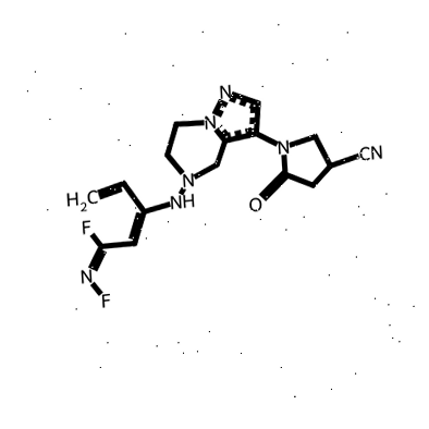 C=C/C(=C\C(F)=N/F)NN1CCn2ncc(N3CC(C#N)CC3=O)c2C1